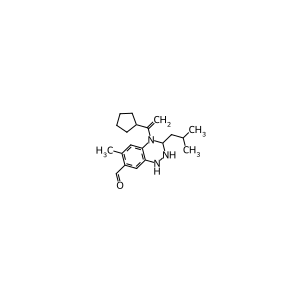 C=C(C1CCCC1)N1c2cc(C)c(C=O)cc2NNC1CC(C)C